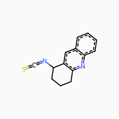 S=C=NC1CCCc2nc3ccccc3cc21